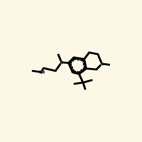 CNCCN(C)c1cc2c(c(C(C)(C)C)c1)CN(C)CC2